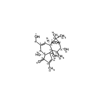 CC(=O)O[C@]12C([C@@H]3C=C(CO)C[C@]4(O)C(=O)C(C)=CC4[C@@]3(O)[C@H](C)[C@H]1O)C2(C)C